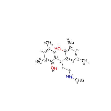 Cc1cc(C(CCNC=O)c2cc(C)cc(C(C)(C)C)c2O)c(O)c(C(C)(C)C)c1